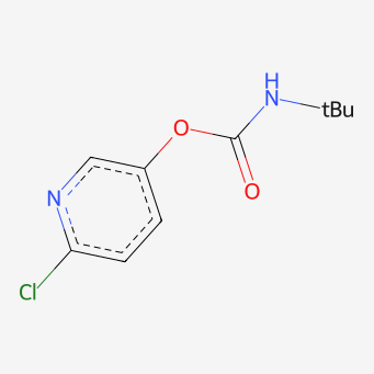 CC(C)(C)NC(=O)Oc1ccc(Cl)nc1